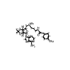 CC(C)N(CCCNC(=O)Nc1ccc(C(C)(C)C)cc1)C[C@H]1O[C@@H](n2cnc3c(N)ncnc32)[C@@H]2OC(C)(C)O[C@@H]21